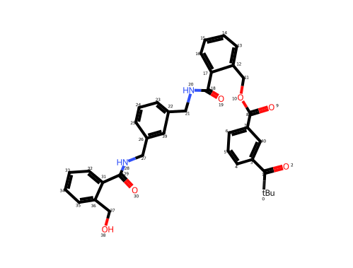 CC(C)(C)C(=O)c1cccc(C(=O)OCc2ccccc2C(=O)NCc2cccc(CNC(=O)c3ccccc3CO)c2)c1